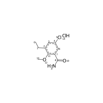 CCc1cc(Cl)cc(C(N)=O)c1OC.Cl